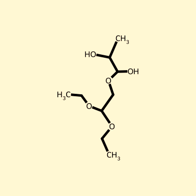 CCOC(COC(O)C(C)O)OCC